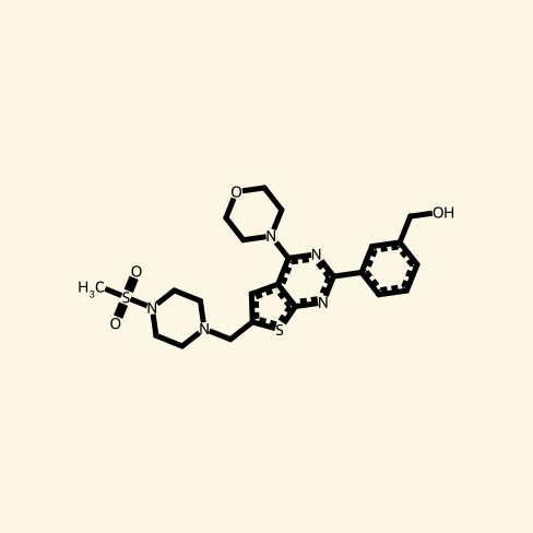 CS(=O)(=O)N1CCN(Cc2cc3c(N4CCOCC4)nc(-c4cccc(CO)c4)nc3s2)CC1